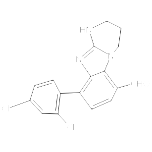 O=Cc1ccc(-c2ccc(Cl)cc2Cl)c2nc3n(c12)CCCN3